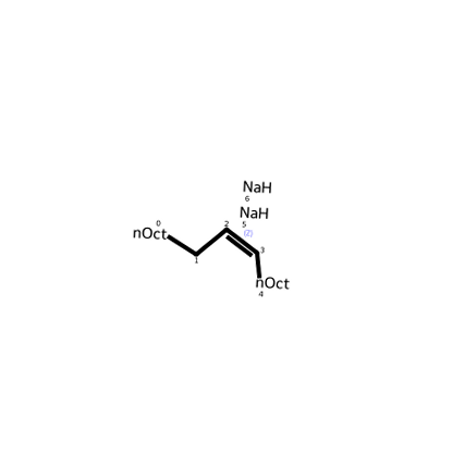 [CH2]CCCCCCCC/C=C\CCCCCCCC.[NaH].[NaH]